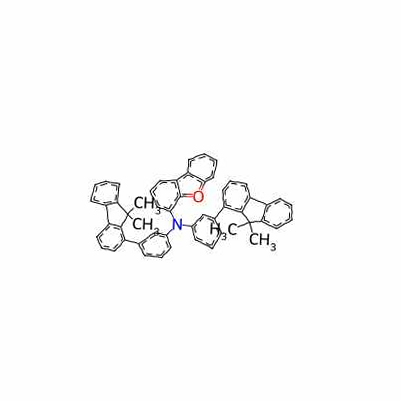 CC1(C)c2ccccc2-c2cccc(-c3cccc(N(c4cccc(-c5cccc6c5C(C)(C)c5ccccc5-6)c4)c4cccc5c4oc4ccccc45)c3)c21